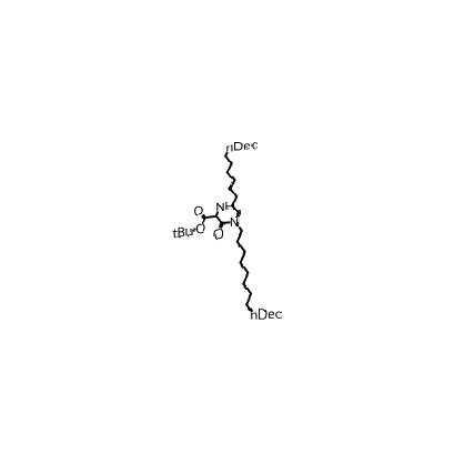 CCCCCCCCCCCCCCCCCCN(CCCCCCCCCCCCCCCCCC)C(=O)C(N)C(=O)OC(C)(C)C